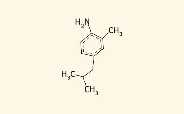 Cc1cc(CC(C)C)ccc1N